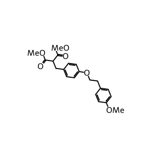 COC(=O)C(Cc1ccc(OCCc2ccc(OC)cc2)cc1)C(=O)OC